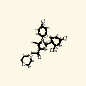 Cc1c(C(=O)CN2CCOCC2)nc(-c2ccc(Cl)cc2Cl)n1-c1ccc(Cl)cc1